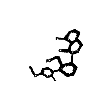 COc1ccc(-c2cccc(-n3ncc4cccc(F)c4c3=O)c2CO)c(C)n1